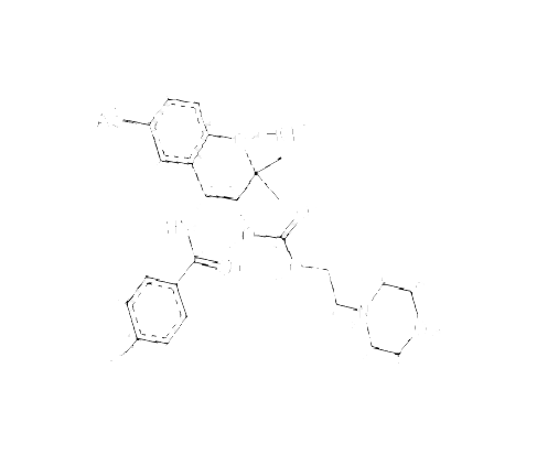 CC(=O)c1ccc2c(c1)[C@@H](NC(=O)c1ccc(F)cc1)[C@@H](OC(=O)OCCN1CCOCC1)C(C)(C)O2.Cl